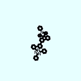 c1ccc(-c2nc(-c3ccccc3)nc(-c3ccccc3-c3cccc(-c4ccc5c(c4)-c4ccccc4C54c5ccccc5N(c5ccccc5)c5ccccc54)c3)n2)cc1